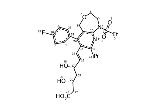 CCS(=O)(=O)N1CCOCc2c1nc(C(C)C)c(C=C[C@@H](O)C[C@@H](O)CC(=O)O)c2-c1ccc(F)cc1